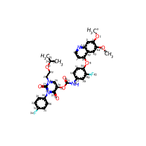 COc1cc2nccc(Oc3ccc(NC(=O)Oc4cn(CCOC(C)C)c(=O)n(-c5ccc(F)cc5)c4=O)cc3F)c2cc1OC